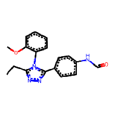 CCc1nnc(-c2ccc(NC=O)cc2)n1-c1ccccc1OC